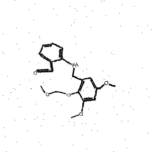 COCOc1c(CPc2ccccc2C=O)cc(OC)cc1OC